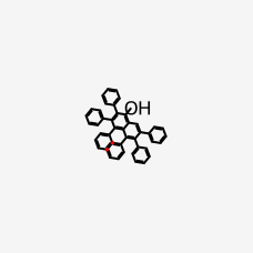 Oc1c(-c2ccccc2)c(-c2ccccc2)c(-c2ccccc2)c2c(-c3ccccc3)c(-c3ccccc3)c(-c3ccccc3)cc12